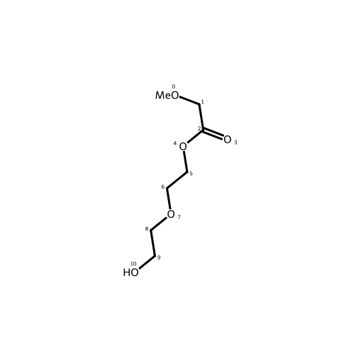 COCC(=O)OCCOCCO